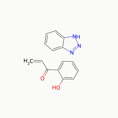 C=CC(=O)c1ccccc1O.c1ccc2[nH]nnc2c1